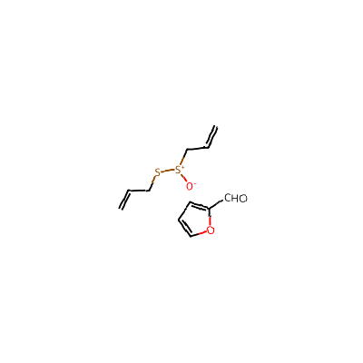 C=CCS[S+]([O-])CC=C.O=Cc1ccco1